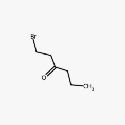 CCCC(=O)CCBr